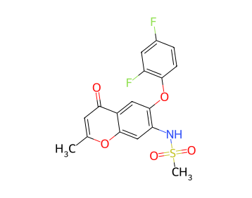 Cc1cc(=O)c2cc(Oc3ccc(F)cc3F)c(NS(C)(=O)=O)cc2o1